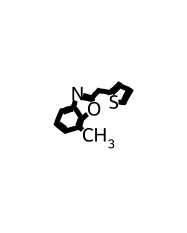 Cc1cccc2nc(Cc3cccs3)oc12